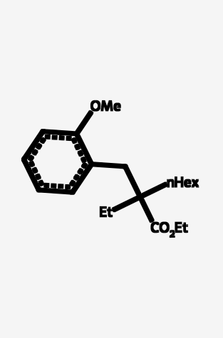 CCCCCCC(CC)(Cc1ccccc1OC)C(=O)OCC